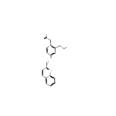 CCCc1cc(OCc2ccc3ccccc3n2)ccc1CC(=O)O